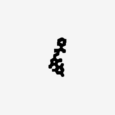 Cc1cc(C)c(C2C(=O)CC(CCNC(=O)c3cnccn3)C2=O)c(C)c1